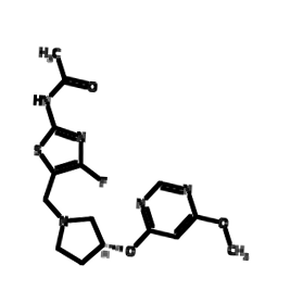 COc1cc(O[C@@H]2CCN(Cc3sc(NC(C)=O)nc3F)C2)ncn1